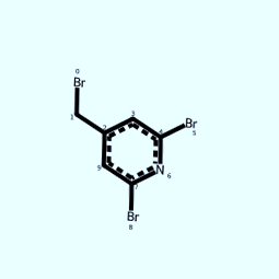 BrCc1cc(Br)nc(Br)c1